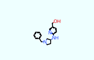 OCc1ccc(N[C@H]2CCN(Cc3ccccc3)C2)nc1